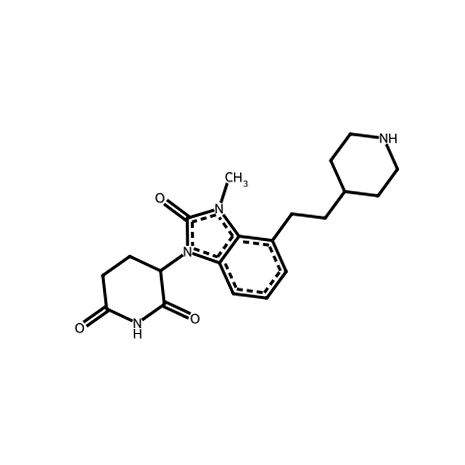 Cn1c(=O)n(C2CCC(=O)NC2=O)c2cccc(CCC3CCNCC3)c21